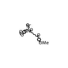 COc1ccc(C(=O)CCCCCC(=O)N[C@@H](Cc2ccc3c(c2)OCCO3)CN2CCC[C@H]2C)cc1